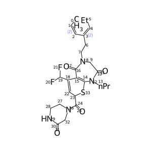 C/C=C\C(=C/CC)CCN1CC(=O)N(CCC)C2=C(C1=O)C(C(F)F)=CC(C(=O)N1CCNC(=O)C1)S2